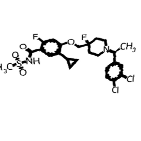 C[C@@H](c1ccc(Cl)c(Cl)c1)N1CCC(F)(COc2cc(F)c(C(=O)NS(C)(=O)=O)cc2C2CC2)CC1